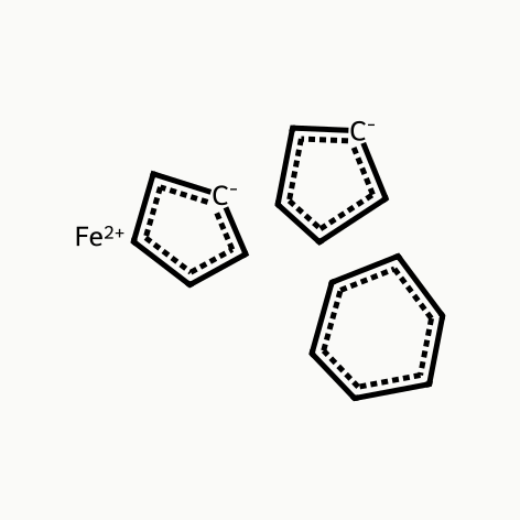 [Fe+2].c1cc[cH-]c1.c1cc[cH-]c1.c1ccccc1